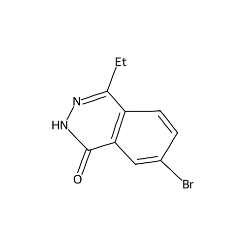 CCc1n[nH]c(=O)c2cc(Br)ccc12